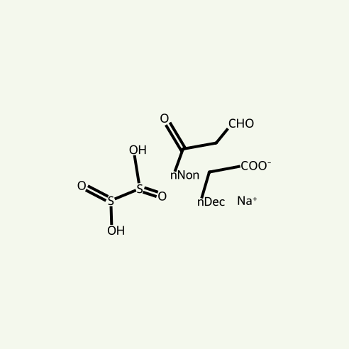 CCCCCCCCCC(=O)CC=O.CCCCCCCCCCCC(=O)[O-].O=S(O)S(=O)O.[Na+]